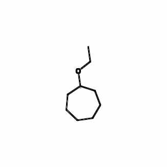 CCO[C]1CCCCCC1